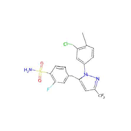 Cc1ccc(-n2nc(C(F)(F)F)cc2-c2ccc(S(N)(=O)=O)c(F)c2)cc1Cl